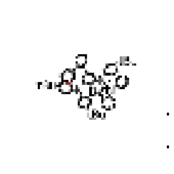 CC(C)(C)c1ccc(N2c3ccc(C(C)(C)C)cc3B3c4c2cc(-c2ccccc2-c2ccccc2)cc4N(c2ccc(C(C)(C)C)cc2)c2c3c3ccccc3n2-c2ccccc2)cc1